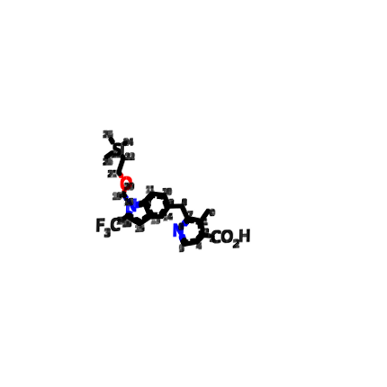 Cc1c(C(=O)O)ccnc1Cc1ccc2c(c1)cc(C(F)(F)F)n2COCC[Si](C)(C)C